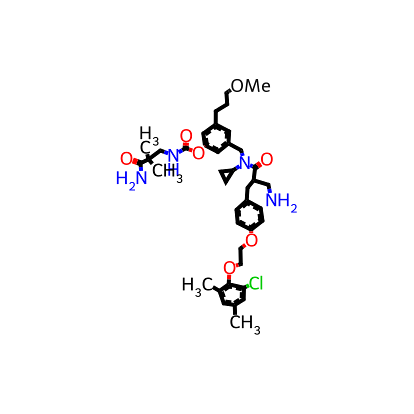 COCCCc1cc(CN(C(=O)C(CN)Cc2ccc(OCCOc3c(C)cc(C)cc3Cl)cc2)C2CC2)cc(OC(=O)NCC(C)(C)C(N)=O)c1